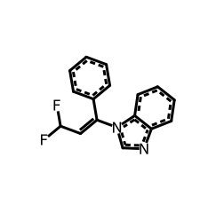 FC(F)C=C(c1ccccc1)n1cnc2ccccc21